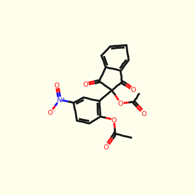 CC(=O)Oc1ccc([N+](=O)[O-])cc1C1(OC(C)=O)C(=O)c2ccccc2C1=O